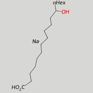 CCCCCCC(O)CCCCCCCCCCC(=O)O.[Na]